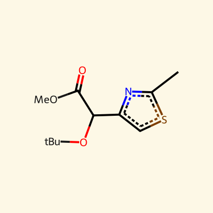 COC(=O)C(OC(C)(C)C)c1csc(C)n1